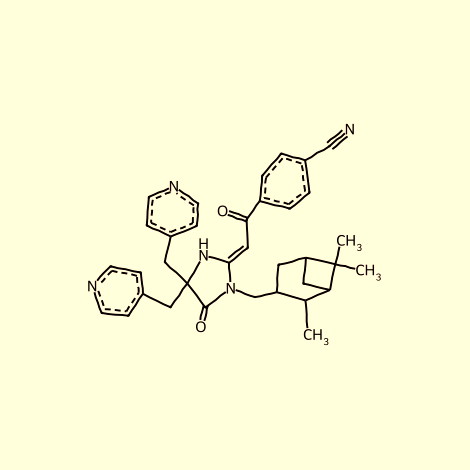 CC1C(CN2C(=O)C(Cc3ccncc3)(Cc3ccncc3)NC2=CC(=O)c2ccc(C#N)cc2)CC2CC1C2(C)C